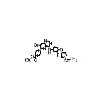 C/C=N\N1C=CC(Oc2ccc(Nc3ncnc4cc(Br)c(N5CCN(C(=O)OC(C)(C)C)CC5)nc34)cc2F)=CC1